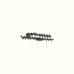 CCCCCCCCCCCCCCCCCCCCCCCCC.CCCCCCCCCCCCCCCC[n+]1ccccc1.[NaH]